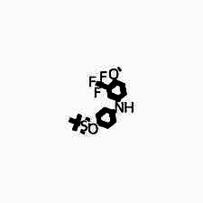 COc1ccc(Nc2ccc(O[Si](C)(C)C(C)(C)C)cc2)cc1C(F)(F)F